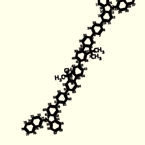 CC1(C)c2cc(-c3ccc(-c4ccc5c(c4)c4ccccc4n5-c4ccc5ccccc5c4)cc3)ccc2-c2ccc(-c3ccc4c(c3)C(C)(C)c3cc(-c5ccc(-c6ccc7c(c6)c6ccccc6n7-c6ccc7ccccc7c6)cc5)ccc3-4)cc21